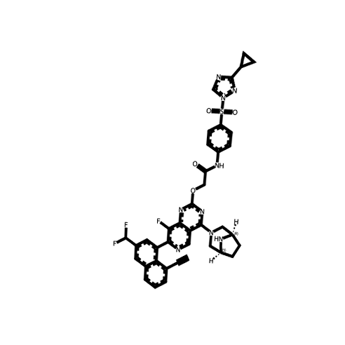 C#Cc1cccc2cc(C(F)F)cc(-c3ncc4c(N5C[C@H]6CC[C@@H](C5)N6)nc(OCC(=O)Nc5ccc(S(=O)(=O)n6cnc(C7CC7)n6)cc5)nc4c3F)c12